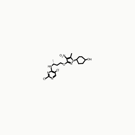 Cc1c([N+](=O)[O-])c(OCC[C@@H](C)Nc2nc(Cl)ncc2Cl)nn1C1CCC(O)CC1